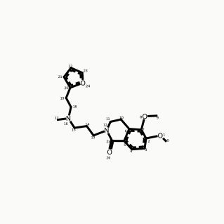 COc1ccc2c(c1OC)CCN(CCCN(C)CCc1ccco1)C2=O